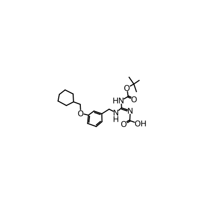 CC(C)(C)OC(=O)N/C(=N/C(=O)O)NCc1cccc(OCC2CCCCC2)c1